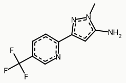 Cn1nc(-c2ccc(C(F)(F)F)cn2)cc1N